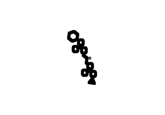 O=C(OC[CH]COC(=O)OC1CC1)OC1CCCCC1